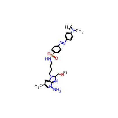 CCOCC1N=C2C(=CC(C)=CN2N)N1CCCCNS(=O)(=O)c1ccc(N=Nc2ccc(N(C)C)cc2)cc1